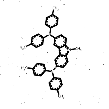 Cc1ccc(N(c2ccc(C)cc2)c2ccc3c(c2)c2cc(N(c4ccc(C)cc4)c4ccc(C)cc4)ccc2n3C)cc1